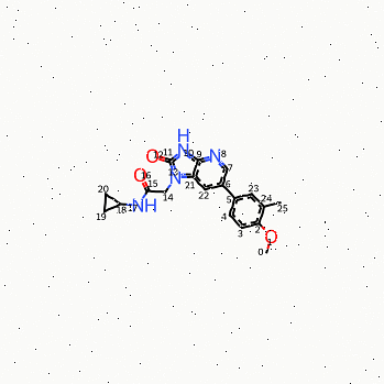 COc1ccc(-c2cnc3[nH]c(=O)n(CC(=O)NC4CC4)c3c2)cc1C